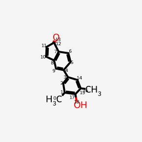 Cc1cc(-c2ccc3c(c2)C=CC3=O)cc(C)c1O